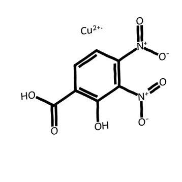 O=C(O)c1ccc([N+](=O)[O-])c([N+](=O)[O-])c1O.[Cu+2]